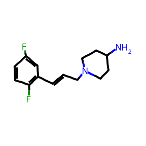 NC1CCN(C/C=C/c2cc(F)ccc2F)CC1